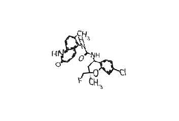 Cc1ccc2[nH]c(=O)ccc2c1NC(=O)N[C@@H]1C[C@](C)(CF)Oc2cc(Cl)ccc21